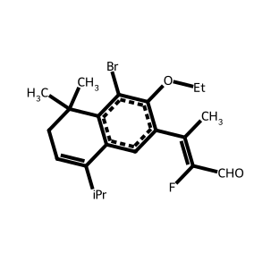 CCOc1c(C(C)=C(F)C=O)cc2c(c1Br)C(C)(C)CC=C2C(C)C